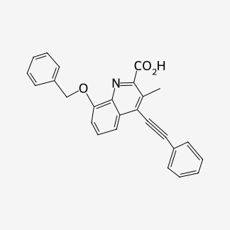 Cc1c(C(=O)O)nc2c(OCc3ccccc3)cccc2c1C#Cc1ccccc1